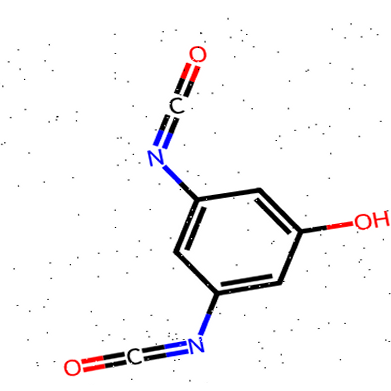 O=C=Nc1cc(O)cc(N=C=O)c1